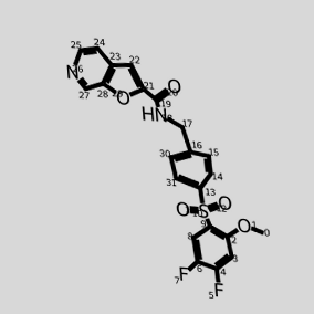 COc1cc(F)c(F)cc1S(=O)(=O)c1ccc(CNC(=O)c2cc3ccncc3o2)cc1